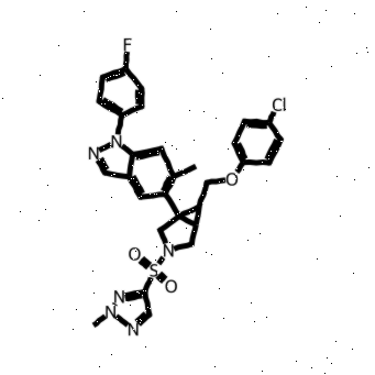 Cc1cc2c(cnn2-c2ccc(F)cc2)cc1C12CN(S(=O)(=O)c3cnn(C)n3)CC1C2COc1ccc(Cl)cc1